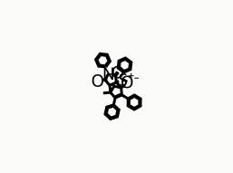 CC12C(=O)C(C)(C(c3ccccc3)=C1c1ccccc1)C1([S+]([O-])c3ccccc3)C(=O)N(c3ccccc3)C(=O)C21